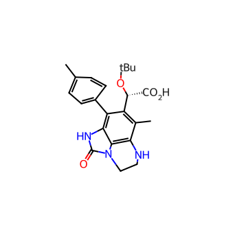 Cc1ccc(-c2c([C@H](OC(C)(C)C)C(=O)O)c(C)c3c4c2[nH]c(=O)n4CCN3)cc1